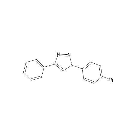 [123I]c1ccc(-n2cc(-c3ccccc3)nn2)cc1